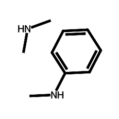 CNC.CNc1ccccc1